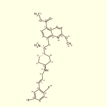 COC(=O)c1ccc(C[C@@H](N)[C@H]2CC[C@H](NC/C=C/c3cc(F)ccc3F)CC2)c2nc(OC)ccc12